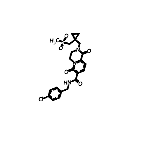 CS(=O)(=O)CC1(CN2CCn3c(ccc(C(=O)NCc4ccc(Cl)cc4)c3=O)C2=O)CC1